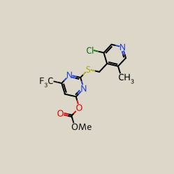 COC(=O)Oc1cc(C(F)(F)F)nc(SCc2c(C)cncc2Cl)n1